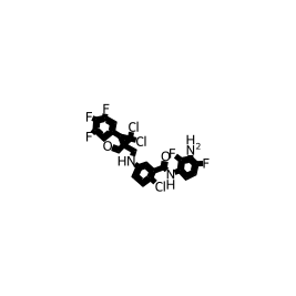 Nc1c(F)ccc(NC(=O)c2cc(NCC3(C=O)C(c4cc(F)c(F)c(F)c4)C3(Cl)Cl)ccc2Cl)c1F